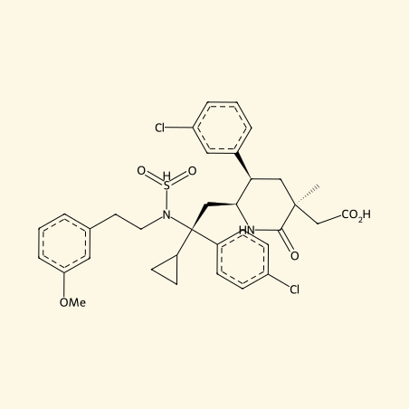 COc1cccc(CCN([SH](=O)=O)[C@](C[C@@H]2NC(=O)[C@](C)(CC(=O)O)C[C@@H]2c2cccc(Cl)c2)(c2ccc(Cl)cc2)C2CC2)c1